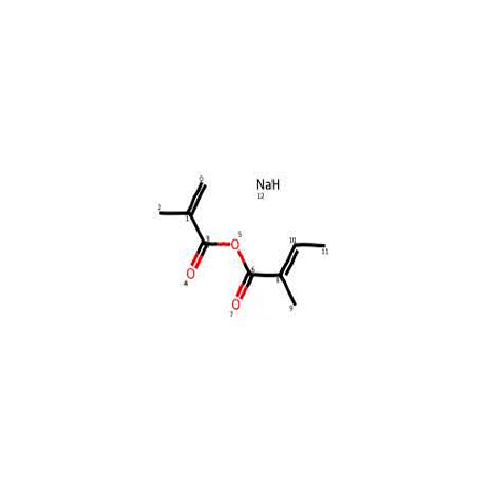 C=C(C)C(=O)OC(=O)C(C)=CC.[NaH]